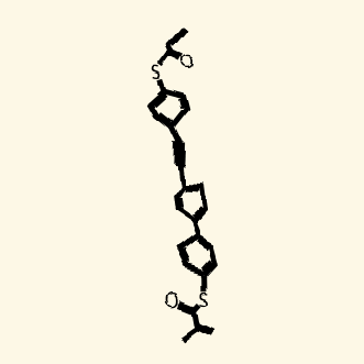 C=CC(=O)Sc1ccc(C#Cc2ccc(-c3ccc(SC(=O)C(=C)C)cc3)cc2)cc1